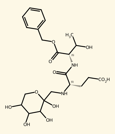 CC(O)[C@H](NC(=O)[C@H](CCC(=O)O)NCC1(O)OCC(O)C(O)C1O)C(=O)OCc1ccccc1